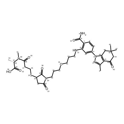 Cc1nn(-c2ccc(C(N)=O)c(NCCCOCCCN3C(=O)CC(SCCC(=O)N(C)[C@@H](C)C(=O)O)C3=O)c2)c2c1C(=O)CC(C)(C)C2